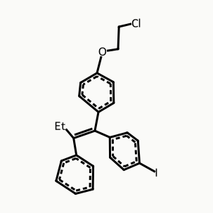 CC/C(=C(/c1ccc(I)cc1)c1ccc(OCCCl)cc1)c1ccccc1